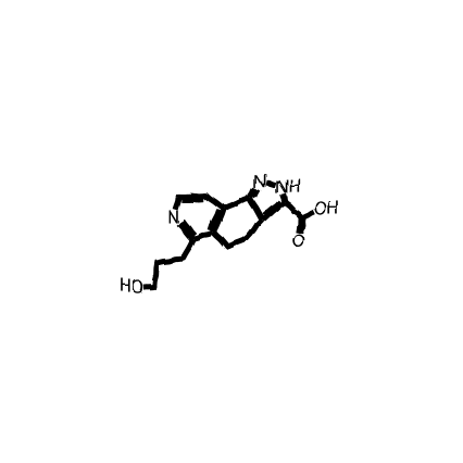 O=C(O)c1[nH]nc2c1CCc1c-2ccnc1CCCO